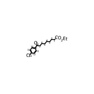 CCOC(=O)CCCCCCCC(=O)c1ccc(Cl)cc1